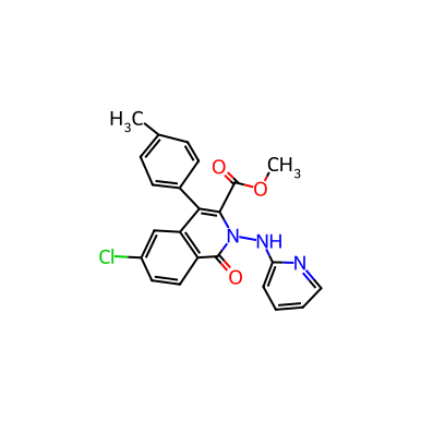 COC(=O)c1c(-c2ccc(C)cc2)c2cc(Cl)ccc2c(=O)n1Nc1ccccn1